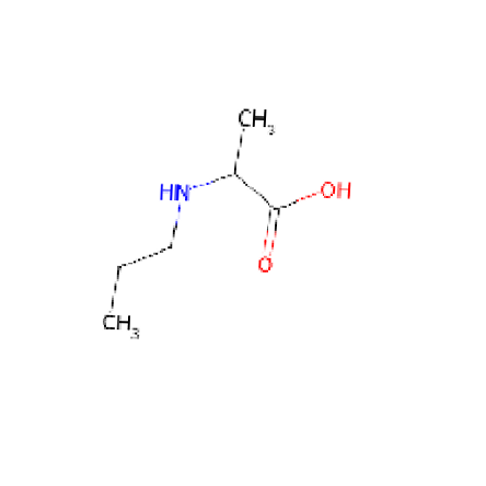 CCCNC(C)C(=O)O